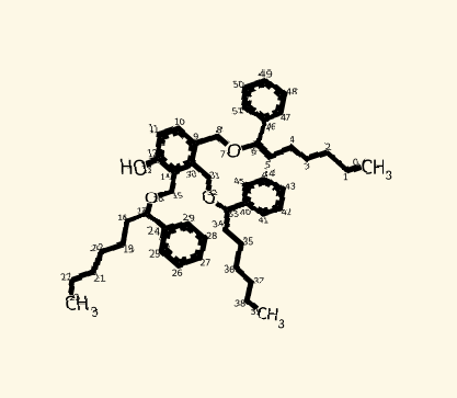 CCCCCCC(OCc1ccc(O)c(COC(CCCCCC)c2ccccc2)c1COC(CCCCCC)c1ccccc1)c1ccccc1